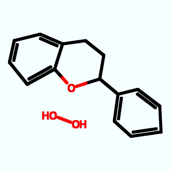 OO.c1ccc(C2CCc3ccccc3O2)cc1